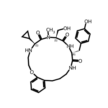 CN1C(=O)[C@H](C2CC2)NCCOc2ccccc2CCCNC(=O)[C@@H](Cc2ccc(O)cc2)NC(=O)[C@@H]1CO